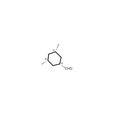 C[C@@H]1C[C@H](C)C[C@H](C=O)C1